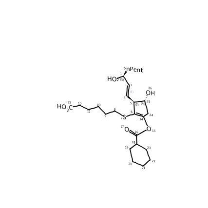 CCCCC[C@H](O)/C=C/[C@@H]1C(SCCCCCC(=O)O)=C(OC(=O)C2CCCCC2)C[C@H]1O